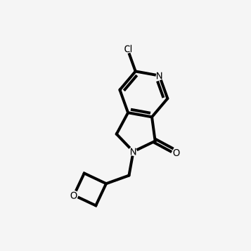 O=C1c2cnc(Cl)cc2CN1CC1COC1